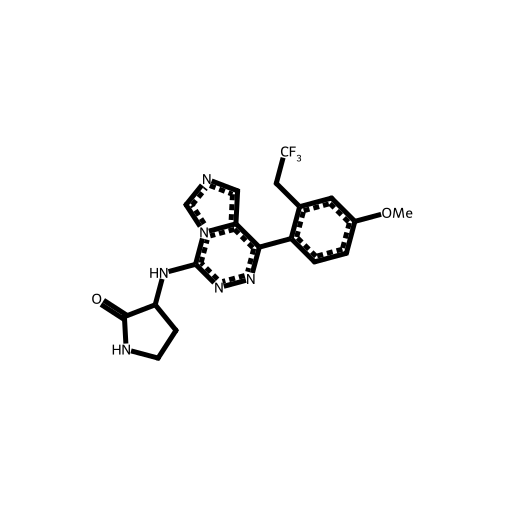 COc1ccc(-c2nnc(NC3CCNC3=O)n3cncc23)c(CC(F)(F)F)c1